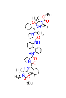 C=C(N[C@H](C(=O)N1CCC[C@H]1C(=O)Nc1ccccc1-c1ccccc1NC(=O)[C@@H]1CCCN1C(=C)[C@@H](NC(=O)[C@H](C)N(C)C(=O)OC(C)(C)C)C1CCCCC1)C1CCCCC1)[C@H](C)N(C)C(=O)OC(C)(C)C